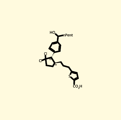 CCCCCC(O)c1ccc([C@@H]2[C@@H](CCCc3ccc(C(=O)O)s3)CCC2(Cl)Cl)cc1